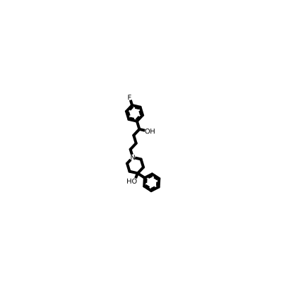 OC(CCCN1CCC(O)(c2ccccc2)CC1)c1ccc(F)cc1